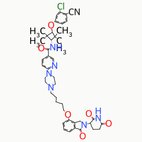 CC1(C)[C@H](NC(=O)c2ccc(N3CCN(CCCCCOc4cccc5c4CN(C4CCC(=O)NC4=O)C5=O)CC3)nc2)C(C)(C)[C@H]1Oc1ccc(C#N)c(Cl)c1